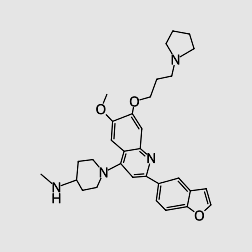 CNC1CCN(c2cc(-c3ccc4occc4c3)nc3cc(OCCCN4CCCC4)c(OC)cc23)CC1